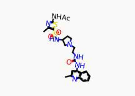 CC(=O)Nc1nc(C)c(S(=O)(=O)NC2CCN(CCNC(=O)Nc3cc(C)nc4ccccc34)C2)s1